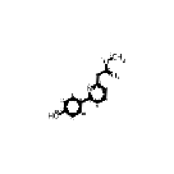 COC(=O)Cc1cccc(-c2ccc(O)cc2)n1